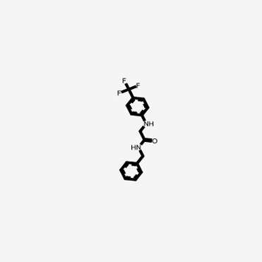 O=C(CNc1ccc(C(F)(F)F)cc1)NCc1ccccc1